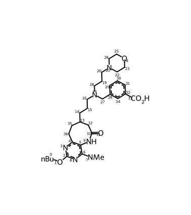 CCCCOc1nc2c(c(NC)n1)NC(=O)CC(CCCN(CCCN1CCOCC1)Cc1cccc(C(=O)O)c1)CC2